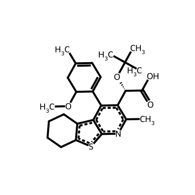 COC1CC(C)=CC=C1c1c([C@H](OC(C)(C)C)C(=O)O)c(C)nc2sc3c(c12)CCCC3